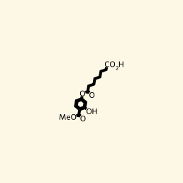 COC(=O)c1ccc(OC(=O)CCCCCCC(=O)O)cc1O